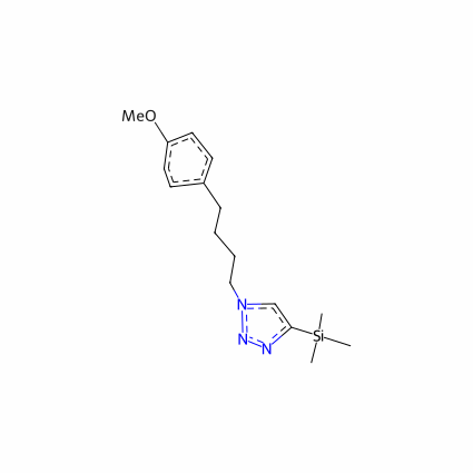 COc1ccc(CCCCn2cc([Si](C)(C)C)nn2)cc1